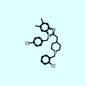 Cc1cc2nc(CC3CCN(Cc4ccccc4Cl)CC3)n(Cc3ccc(Cl)cc3)c2cc1C